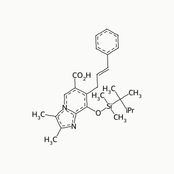 Cc1nc2c(O[Si](C)(C)C(C)(C)C(C)C)c(CC=Cc3ccccc3)c(C(=O)O)cn2c1C